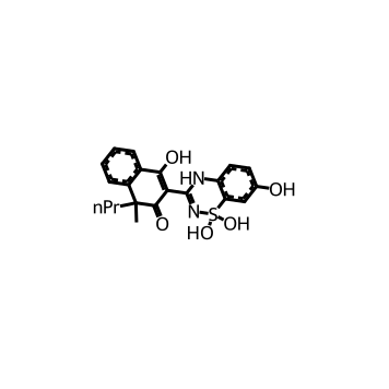 CCCC1(C)C(=O)C(C2=NS(O)(O)c3cc(O)ccc3N2)=C(O)c2ccccc21